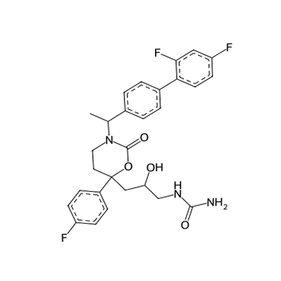 CC(c1ccc(-c2ccc(F)cc2F)cc1)N1CCC(CC(O)CNC(N)=O)(c2ccc(F)cc2)OC1=O